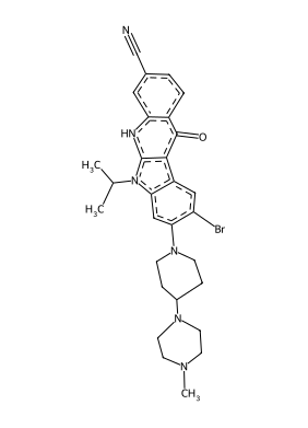 CC(C)n1c2cc(N3CCC(N4CCN(C)CC4)CC3)c(Br)cc2c2c(=O)c3ccc(C#N)cc3[nH]c21